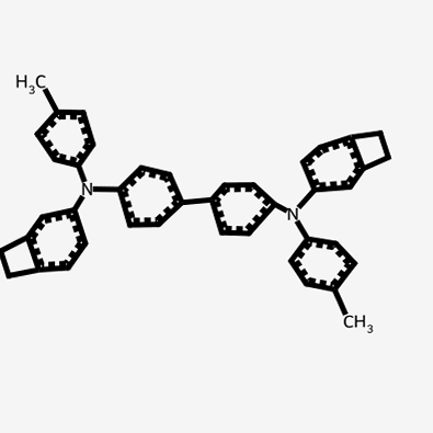 Cc1ccc(N(c2ccc(-c3ccc(N(c4ccc(C)cc4)c4ccc5c(c4)CC5)cc3)cc2)c2ccc3c(c2)CC3)cc1